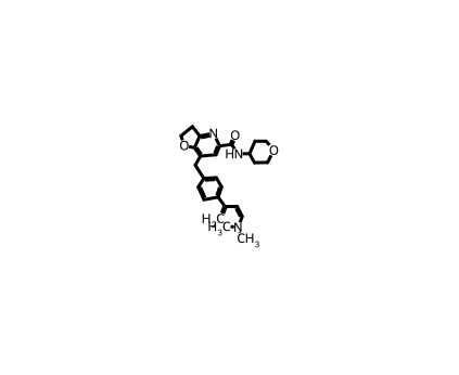 C=C(/C=C\N(C)C)c1ccc(Cc2cc(C(=O)NC3CCOCC3)nc3c2OCC3)cc1